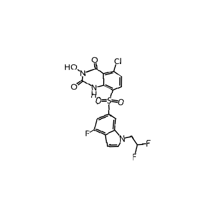 O=c1[nH]c2c(S(=O)(=O)c3cc(F)c4ccn(CC(F)F)c4c3)ccc(Cl)c2c(=O)n1O